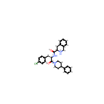 O=C(N[C@H](Cc1ccc(Cl)cc1)C(=O)N1CCC(c2ccccc2)CC1)C1Cc2ccccc2CN1